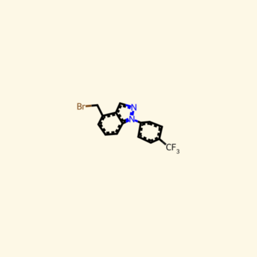 FC(F)(F)c1ccc(-n2ncc3c(CBr)cccc32)cc1